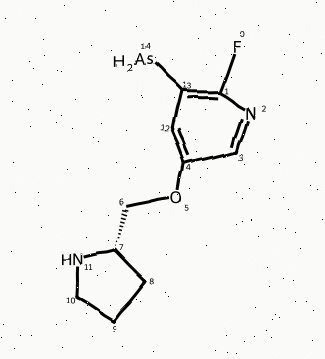 Fc1ncc(OC[C@@H]2CCCN2)cc1[AsH2]